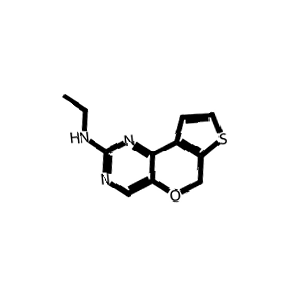 CCNc1ncc2c(n1)-c1ccsc1CO2